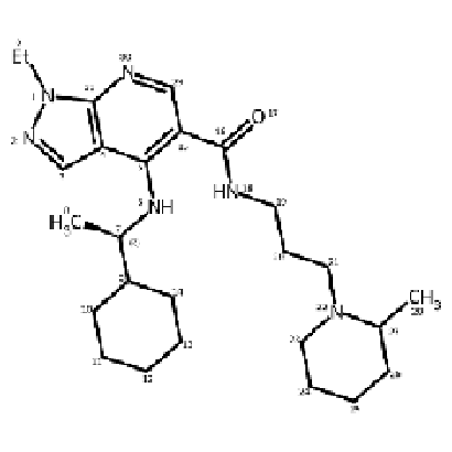 CCn1ncc2c(N[C@H](C)C3CCCCC3)c(C(=O)NCCCN3CCCCC3C)cnc21